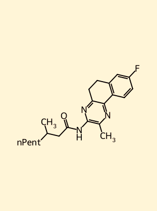 CCCCCC(C)CC(=O)Nc1nc2c(nc1C)-c1ccc(F)cc1CC2